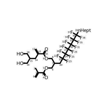 C=C(C)C(=O)OCC(COC(=O)C(=C)CC(CO)CO)CC(F)(F)C(F)(F)C(F)(F)C(F)(F)C(F)(F)C(F)(F)CCCCCCC